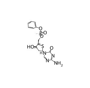 C[P@](=O)(OC[C@H]1S[C@@H](n2cnc(N)nc2=O)C[C@H]1O)Oc1ccccc1